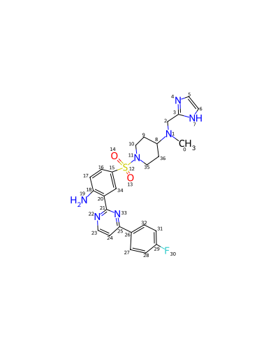 CN(Cc1ncc[nH]1)C1CCN(S(=O)(=O)c2ccc(N)c(-c3nccc(-c4ccc(F)cc4)n3)c2)CC1